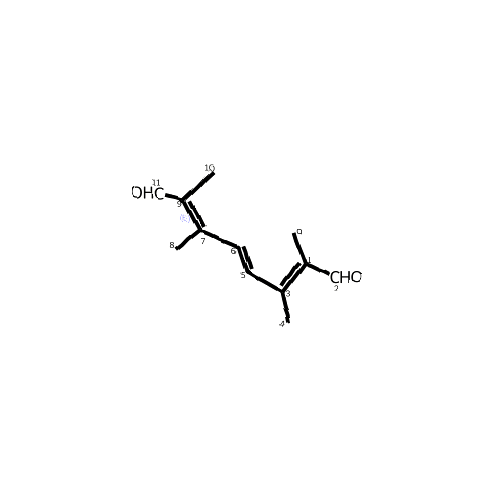 CC(C=O)=C(C)C=C/C(C)=C(\C)C=O